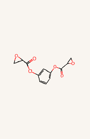 O=C(Oc1cccc(OC(=O)C2CO2)c1)C1CO1